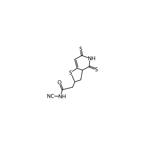 N#CNC(=O)CC1CC2C(=S)NC(=S)C=C2S1